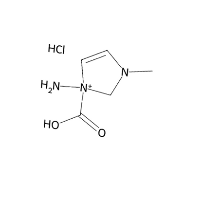 CN1C=C[N+](N)(C(=O)O)C1.Cl